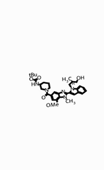 COc1cc(C(=O)N2CCC[C@@H](NC(=O)OC(C)(C)C)C2)cc2nc(-c3cc4ccccc4n3C[C@@H](C)CO)n(C)c12